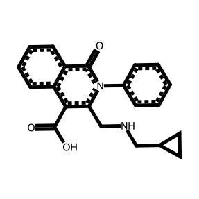 O=C(O)c1c(CNCC2CC2)n(-c2ccccc2)c(=O)c2ccccc12